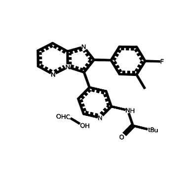 Cc1cc(-c2nc3cccnn3c2-c2ccnc(NC(=O)C(C)(C)C)c2)ccc1F.O=CO